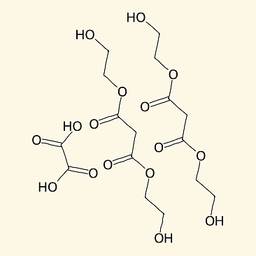 O=C(CC(=O)OCCO)OCCO.O=C(CC(=O)OCCO)OCCO.O=C(O)C(=O)O